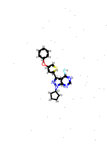 Fc1ncnc2c1c(-c1cc(Oc3ccccc3)cs1)nn2C1CCCC1